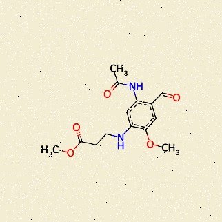 COC(=O)CCNc1cc(NC(C)=O)c(C=O)cc1OC